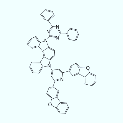 c1ccc(-c2nc(-c3ccccc3)nc(-n3c4ccccc4c4c5c6ccccc6n(-c6cc(-c7ccc8oc9ccccc9c8c7)nc(-c7ccc8oc9ccccc9c8c7)c6)c5ccc43)n2)cc1